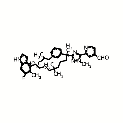 Cc1c(F)cc2[nH]ccc2c1CCSCC(C)(C)CCC[C@](C)(c1cccc(CC(C)C(=O)O)c1)c1nc(-c2cc(C=O)ccn2)n(C)n1